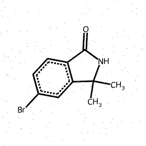 CC1(C)NC(=O)c2ccc(Br)cc21